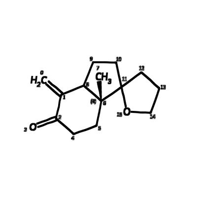 C=C1C(=O)CC[C@]2(C)C1CCC21CCCO1